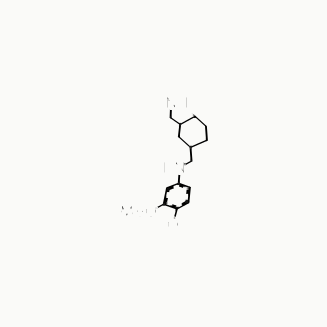 COc1cc(NCC2CCCC(CN)C2)ccc1O